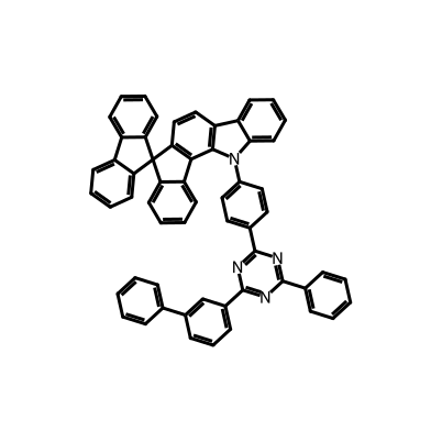 c1ccc(-c2cccc(-c3nc(-c4ccccc4)nc(-c4ccc(-n5c6ccccc6c6ccc7c(c65)-c5ccccc5C75c6ccccc6-c6ccccc65)cc4)n3)c2)cc1